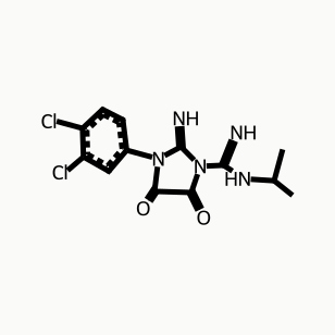 CC(C)NC(=N)N1C(=N)N(c2ccc(Cl)c(Cl)c2)C(=O)C1=O